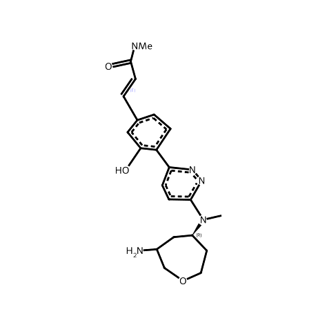 CNC(=O)/C=C/c1ccc(-c2ccc(N(C)[C@H]3CCOCC(N)C3)nn2)c(O)c1